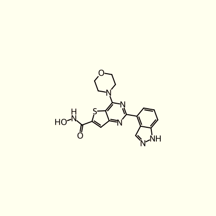 O=C(NO)c1cc2nc(-c3cccc4[nH]ncc34)nc(N3CCOCC3)c2s1